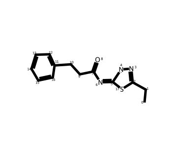 CCC1=N[N]C(=NC(=O)CCc2ccccc2)S1